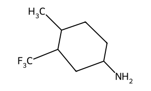 CC1CCC(N)CC1C(F)(F)F